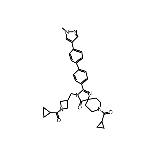 Cn1cc(-c2ccc(-c3ccc(C4=NC5(CCN(C(=O)C6CC6)CC5)C(=O)N4CC4CN(C(=O)C5CC5)C4)cc3)cc2)cn1